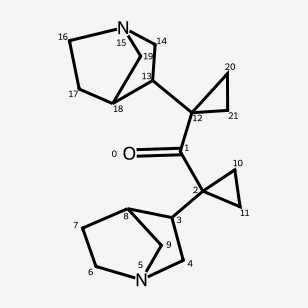 O=C(C1(C2CN3CCC2C3)CC1)C1(C2CN3CCC2C3)CC1